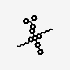 CCCCCCc1ccc2c(-c3ccc4cc(N(c5ccccc5)c5ccccc5)ccc4c3)c3cc(CCCCCC)ccc3c(-c3ccc(-c4ccccc4)cc3)c2c1